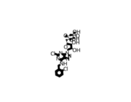 O=P(O)(O)CS(=O)(=O)C[C@H]1O[C@@H](n2nnc3c(NCc4ccccc4Cl)nc(Cl)nc32)[C@H](O)[C@@H]1O